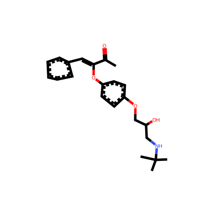 CC(=O)C(=Cc1ccccc1)Oc1ccc(OCC(O)CNC(C)(C)C)cc1